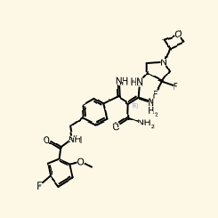 COc1ccc(F)cc1C(=O)NCc1ccc(C(=N)/C(C(N)=O)=C(/N)NC2CN(C3COC3)CC2(F)F)cc1